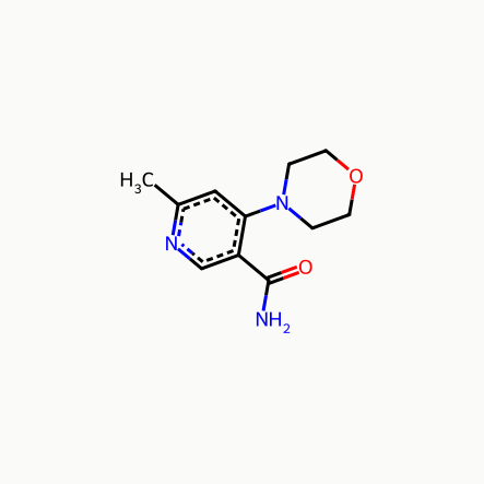 Cc1cc(N2CCOCC2)c(C(N)=O)cn1